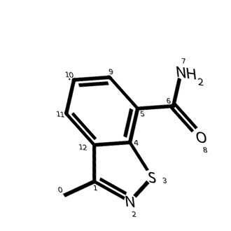 Cc1nsc2c(C(N)=O)c[c]cc12